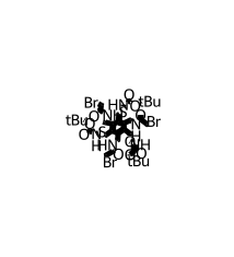 CC(C)(C)OC(=O)NOCc1c(CNC(=O)CBr)c(CSNC(=O)OC(C)(C)C)c(CNC(=O)CBr)c(CSNC(=O)OC(C)(C)C)c1CNC(=O)CBr